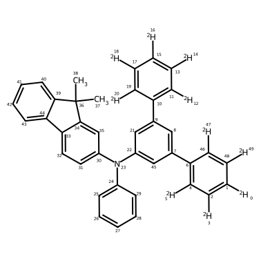 [2H]c1c([2H])c([2H])c(-c2cc(-c3c([2H])c([2H])c([2H])c([2H])c3[2H])cc(N(c3ccccc3)c3ccc4c(c3)C(C)(C)c3ccccc3-4)c2)c([2H])c1[2H]